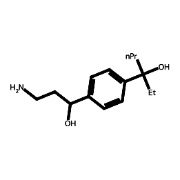 CCCC(O)(CC)c1ccc(C(O)CCN)cc1